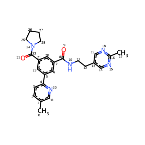 Cc1ccc(-c2cc(C(=O)NCCc3cnc(C)nc3)cc(C(=O)N3CCCC3)c2)nc1